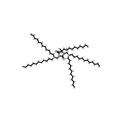 CCCCCCCCCCCCN(CCCCCCCCCCCC)CN1C(=O)N(CN(CCCCCCCCCCCC)CCCCCCCCCCCC)C(C)(CCCCCCCCCC)C1=O